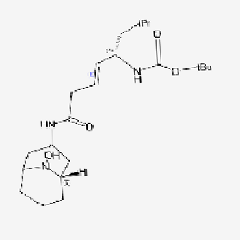 CC(C)C[C@@H](/C=C/CC(=O)NC1CC2CCC[C@@H](C1)N2O)NC(=O)OC(C)(C)C